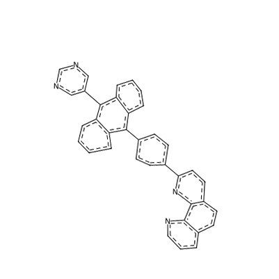 c1cnc2c(c1)ccc1ccc(-c3ccc(-c4c5ccccc5c(-c5cncnc5)c5ccccc45)cc3)nc12